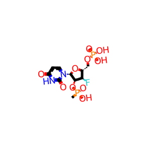 CP(=O)(O)O[C@@H]1[C@H](F)[C@@H](COP(=O)(O)O)O[C@H]1n1ccc(=O)[nH]c1=O